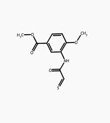 COC(=O)c1ccc(OC)c(NC(=O)C=S)c1